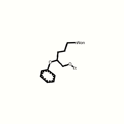 CCCCCCCCCCCC[C](COCC)Oc1ccccc1